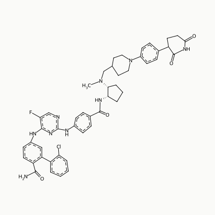 CN(CC1CCN(c2ccc(C3CCC(=O)NC3=O)cc2)CC1)[C@@H]1CCC[C@@H]1NC(=O)c1ccc(Nc2ncc(F)c(Nc3ccc(C(N)=O)c(-c4ccccc4Cl)c3)n2)cc1